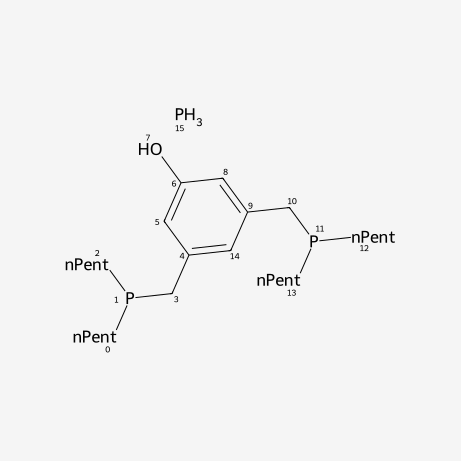 CCCCCP(CCCCC)Cc1cc(O)cc(CP(CCCCC)CCCCC)c1.P